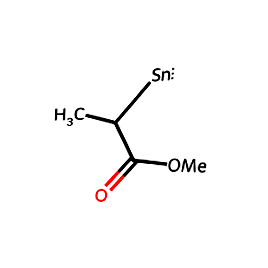 COC(=O)[CH](C)[Sn]